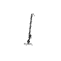 CN(C)c1ccc(C=Cc2nc3ccc(OCCOCCOCCOCCOCCOCCOCCOCC(F)(F)F)cc3o2)cc1